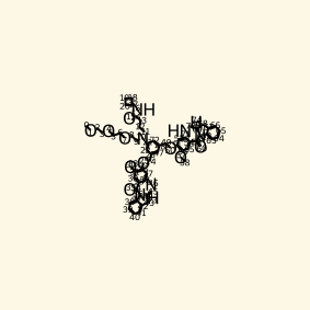 COCCOCCOCCN(CCCC(=O)NC1CCC1)c1cc(COc2cc3c(cc2OC)C(=O)N2c4ccccc4C[C@H]2C=N3)cc(COc2cc3c(cc2OC)C(=O)N2c4ccccc4C[C@H]2CN3)c1